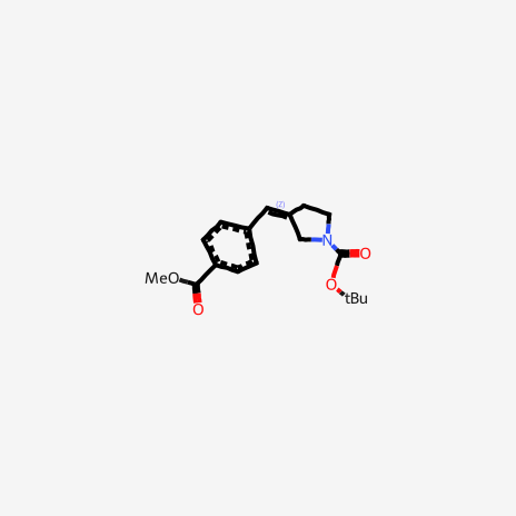 COC(=O)c1ccc(/C=C2/CCN(C(=O)OC(C)(C)C)C2)cc1